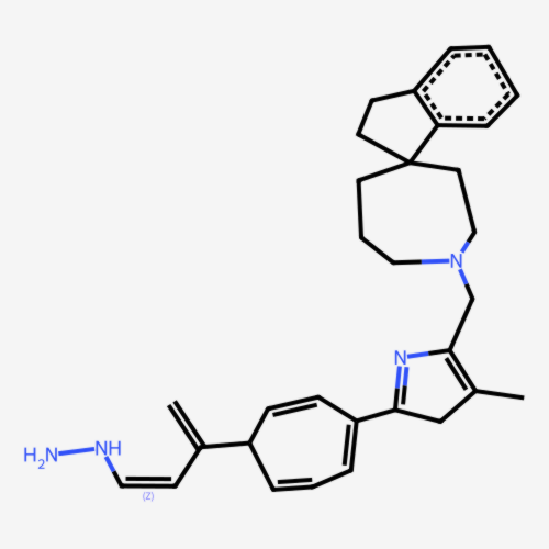 C=C(/C=C\NN)C1C=CC=C(C2=NC(CN3CCCC4(CCc5ccccc54)CC3)=C(C)C2)C=C1